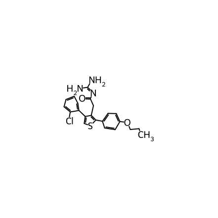 CCCOc1ccc(-c2scc(-c3ccccc3Cl)c2CC(=O)N=C(N)N)cc1